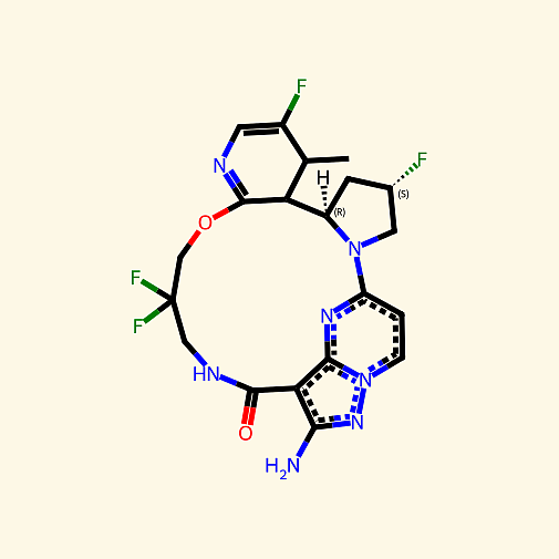 CC1C(F)=CN=C2OCC(F)(F)CNC(=O)c3c(N)nn4ccc(nc34)N3C[C@@H](F)C[C@@H]3C21